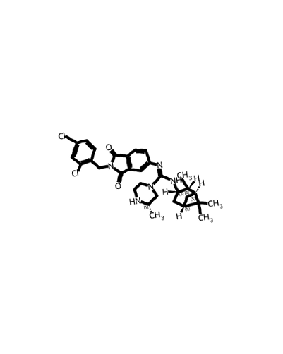 C[C@H]1[C@@H](NC(=Nc2ccc3c(c2)C(=O)N(Cc2ccc(Cl)cc2Cl)C3=O)N2CCN[C@@H](C)C2)C[C@@H]2C[C@@H]1C2(C)C